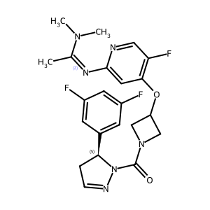 C/C(=N/c1cc(OC2CN(C(=O)N3N=CC[C@H]3c3cc(F)cc(F)c3)C2)c(F)cn1)N(C)C